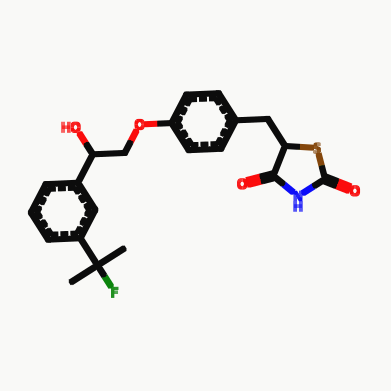 CC(C)(F)c1cccc(C(O)COc2ccc(CC3SC(=O)NC3=O)cc2)c1